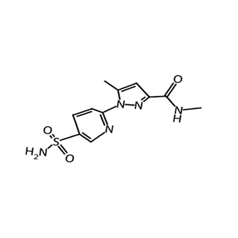 CNC(=O)c1cc(C)n(-c2ccc(S(N)(=O)=O)cn2)n1